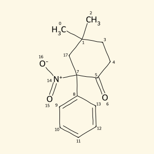 CC1(C)CCC(=O)C(c2ccccc2)([N+](=O)[O-])C1